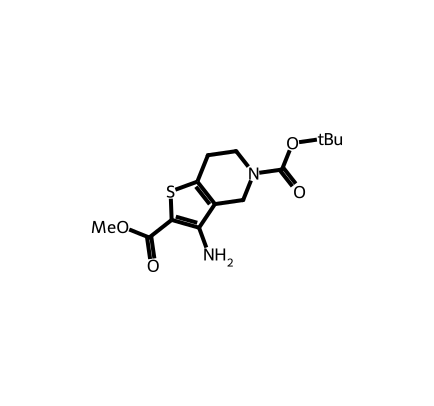 COC(=O)c1sc2c(c1N)CN(C(=O)OC(C)(C)C)CC2